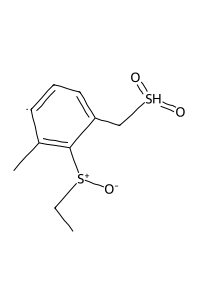 CC[S+]([O-])c1c(C)[c]ccc1C[SH](=O)=O